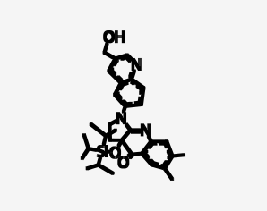 Cc1cc2c(cc1C)C(=O)C1(O[Si](C(C)C)(C(C)C)C(C)C)CCN(c3ccc4ncc(CO)cc4c3)C1=N2